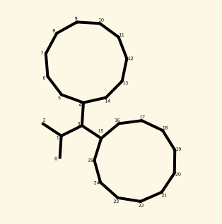 CC(C)C(C1CCCCCCCCCC1)C1CCCCCCCCCC1